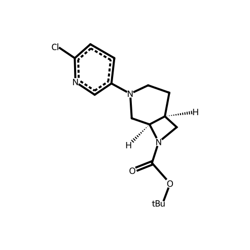 CC(C)(C)OC(=O)N1C[C@@H]2CCN(c3ccc(Cl)nc3)C[C@@H]21